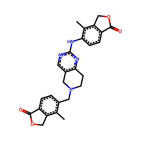 Cc1c(CN2CCc3nc(Nc4ccc5c(c4C)COC5=O)ncc3C2)ccc2c1COC2=O